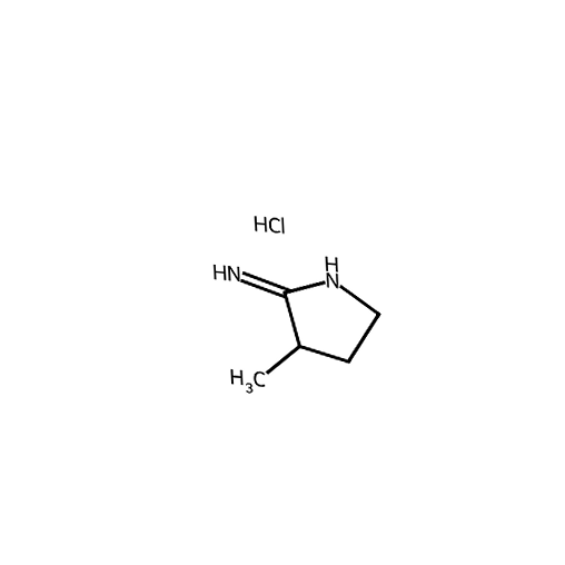 CC1CCNC1=N.Cl